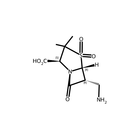 CC1(C)[C@H](C(=O)O)N2C(=O)[C@@H](CN)[C@H]2S1(=O)=O